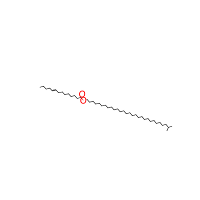 CCCCC=CCCCCCCCC(=O)OCCCCCCCCCCCCCCCCCCCCCCCCCCCC(C)C